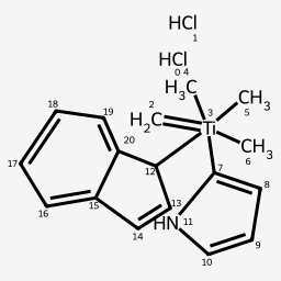 Cl.Cl.[CH2]=[Ti]([CH3])([CH3])([CH3])([c]1ccc[nH]1)[CH]1C=Cc2ccccc21